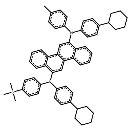 Cc1ccc(N(c2ccc(C3CCCCC3)cc2)c2cc3c4ccccc4c(N(c4ccc(C5CCCCC5)cc4)c4ccc([Si](C)(C)C)cc4)cc3c3ccccc23)cc1